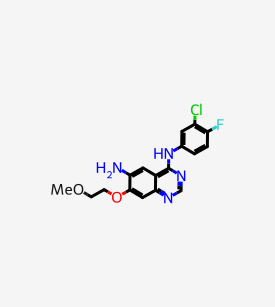 COCCOc1cc2ncnc(Nc3ccc(F)c(Cl)c3)c2cc1N